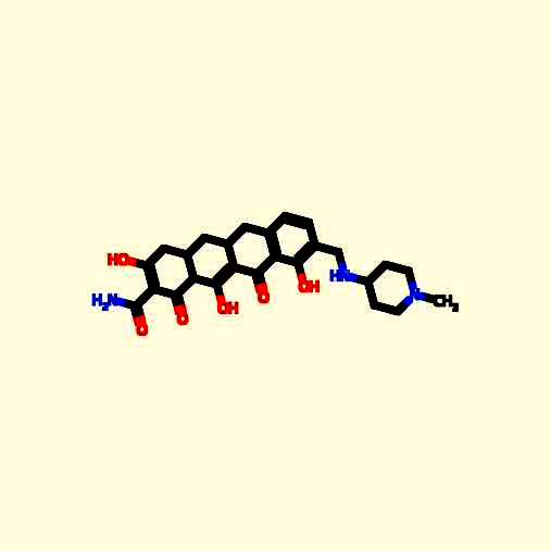 CN1CCC(NCc2ccc3c(c2O)C(=O)C2=C(O)C4C(=O)C(C(N)=O)=C(O)CC4CC2C3)CC1